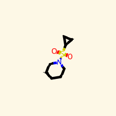 O=S(=O)(C1CC1)N1C[CH]CCC1